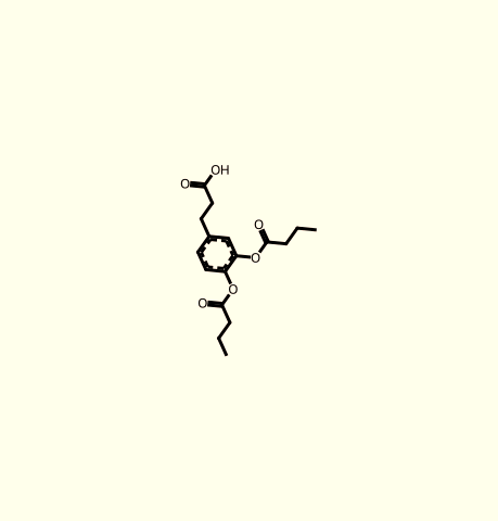 CCCC(=O)Oc1ccc(CCC(=O)O)cc1OC(=O)CCC